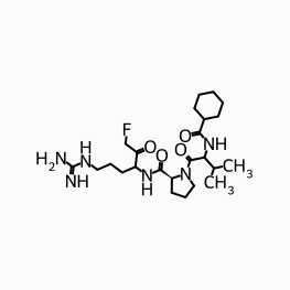 CC(C)C(NC(=O)C1CCCCC1)C(=O)N1CCC[C@H]1C(=O)NC(CCCNC(=N)N)C(=O)CF